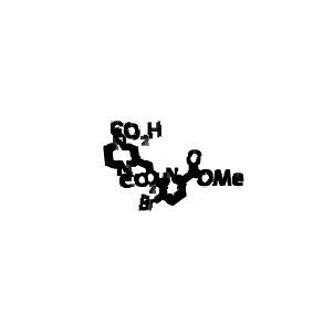 COC(=O)c1ccc(Br)c(OCC2CN(C(=O)O)CCN2C(=O)O)n1